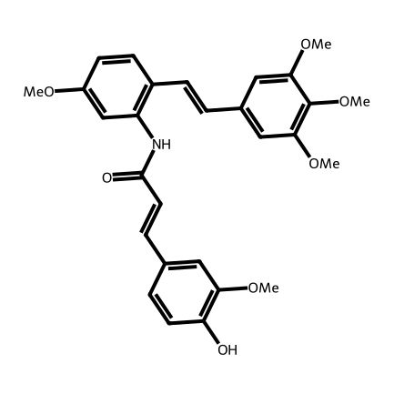 COc1ccc(/C=C/c2cc(OC)c(OC)c(OC)c2)c(NC(=O)/C=C/c2ccc(O)c(OC)c2)c1